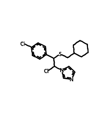 Clc1ccc(C(SCC2CCCCC2)C(Cl)n2ccnc2)cc1